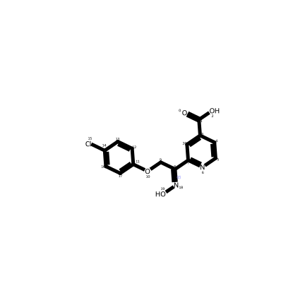 O=C(O)c1ccnc(/C(COc2ccc(Cl)cc2)=N/O)c1